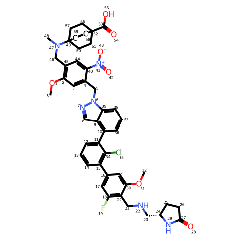 COc1cc(Cn2ncc3c(-c4cccc(-c5cc(F)c(CNC[C@@H]6CCC(=O)N6)c(OC)c5)c4Cl)cccc32)c([N+](=O)[O-])cc1CN(C)C12CCC(C(=O)O)(CC1)CC2